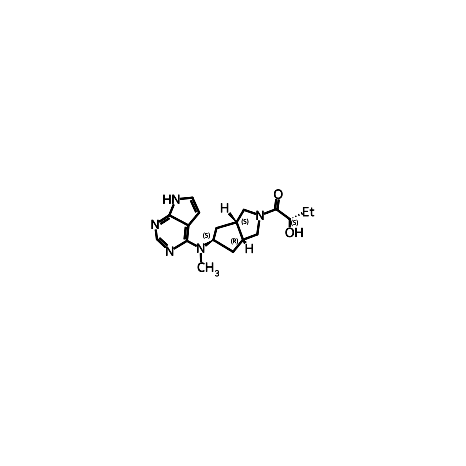 CC[C@H](O)C(=O)N1C[C@H]2C[C@H](N(C)c3ncnc4[nH]ccc34)C[C@H]2C1